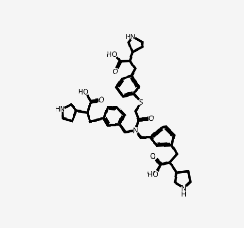 O=C(O)C(Cc1cccc(CN(Cc2cccc(CC(C(=O)O)C3CCNC3)c2)C(=O)CSc2cccc(CC(C(=O)O)C3CCNC3)c2)c1)C1CCNC1